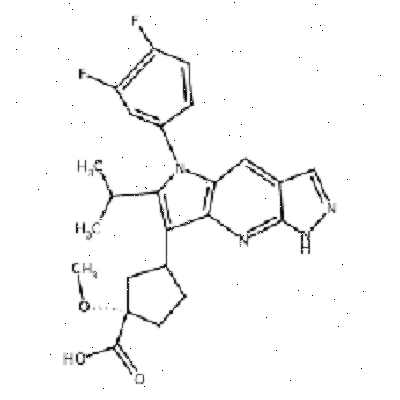 CO[C@@]1(C(=O)O)CCC(c2c(C(C)C)n(-c3ccc(F)c(F)c3)c3cc4cn[nH]c4nc23)C1